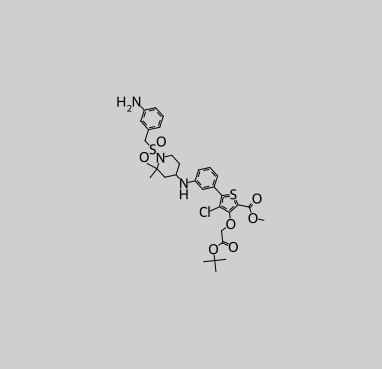 COC(=O)c1sc(-c2cccc(NC3CCN(S(=O)(=O)Cc4cccc(N)c4)C(C)(C)C3)c2)c(Cl)c1OCC(=O)OC(C)(C)C